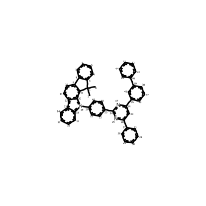 CC1(C)c2ccccc2-c2ccc3c4ccccc4n(-c4ccc(-c5nc(-c6ccccc6)cc(-c6cccc(-c7ccccc7)c6)n5)cc4)c3c21